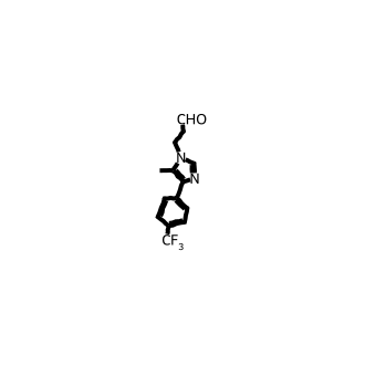 Cc1c(-c2ccc(C(F)(F)F)cc2)ncn1CCC=O